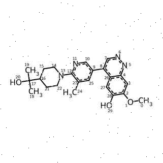 COc1cc2nncc(-c3cnc(N4CCC(C(C)(C)O)CC4)c(C)c3)c2cc1O